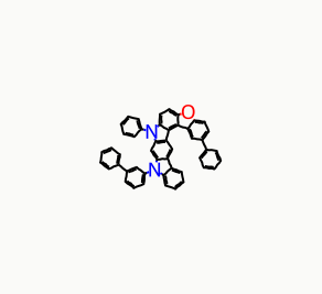 c1ccc(-c2cccc(-n3c4ccccc4c4cc5c6c7c(ccc6n(-c6ccccc6)c5cc43)oc3ccc(-c4ccccc4)cc37)c2)cc1